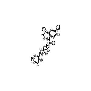 O=C1CCN(C(=O)N2CC3(C2)CN(c2cnccn2)C3)c2ccc(Cl)cc21